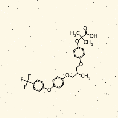 CC(COc1ccc(Oc2ccc(C(F)(F)F)cc2)cc1)COc1ccc(OC(C)(C)C(=O)O)cc1